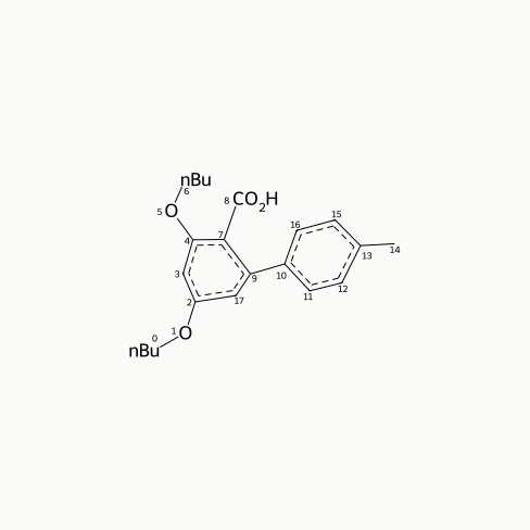 CCCCOc1cc(OCCCC)c(C(=O)O)c(-c2ccc(C)cc2)c1